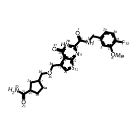 COc1cc(CNC(=O)c2nc3scc(COCC4CCC(C(N)=O)C4)c3c(=O)[nH]2)ccc1F